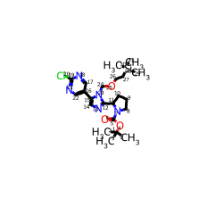 CC(C)(C)OC(=O)N1CCCC1c1ncc(-c2cnc(Cl)nc2)n1COCC[Si](C)(C)C